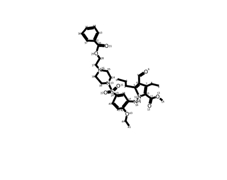 CCCc1c(C=O)c(CC)c(C(=O)OC)n1Nc1cc(S(=O)(=O)N2CCN(CCOC(=O)c3ccccc3)CC2)ccc1OCC